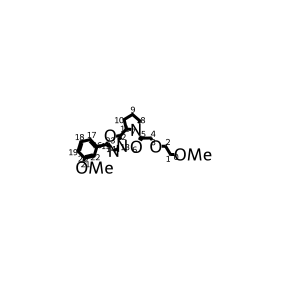 COCCOCC(=O)N1CCCC1c1nnc(-c2cccc(OC)c2)o1